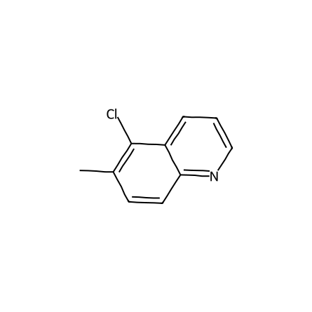 Cc1ccc2ncccc2c1Cl